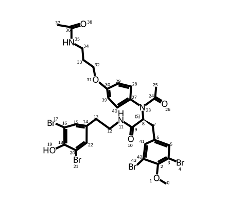 COc1c(Br)cc(C[C@@H](C(=O)NCCc2cc(Br)c(O)c(Br)c2)N(C(C)=O)c2ccc(OCCCNC(C)=O)cc2)cc1Br